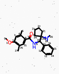 COc1cc(C)c(C(=O)NC(c2ccccc2)C2(N(C)C)CCCC2)cc1C